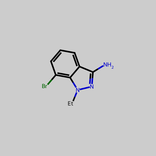 CCn1nc(N)c2cccc(Br)c21